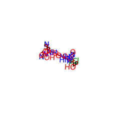 CC(=O)N1CCN(c2nc(NCCC(=O)CNCCOCCOCCOC[C@H](NC(=O)[C@@H]3C[C@@H](O)CN3C(=O)[C@@H](c3cc(C)no3)C(C)C)c3ccc(-c4scnc4C)cc3)nc3c(F)c(-c4cc(O)cc5ccccc45)c(Cl)cc23)CC1